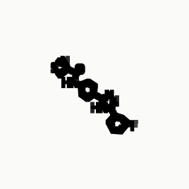 O=C(Nc1ccc(-c2nnc(-c3cccc(F)c3)[nH]2)cc1)c1cscn1